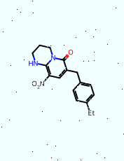 CCc1ccc(Cc2cc([N+](=O)[O-])c3n(c2=O)CCCN3)cc1